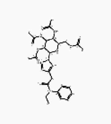 CCN(C(=O)Cc1nnn(C2OC(COC(C)=O)C(OC(C)=O)C(OC(C)=O)C2OC(C)=O)n1)c1ccccc1